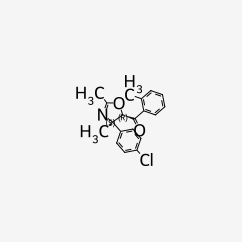 CC1=N[C@@](C)(c2ccc(Cl)cc2)[C@H](C(=O)c2ccccc2C)O1